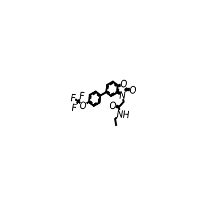 CCNC(=O)Cn1c(=O)oc2ccc(-c3ccc(OC(F)(F)F)cc3)cc21